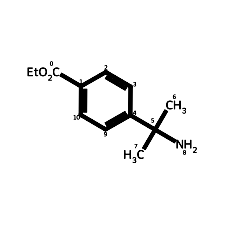 [CH2]COC(=O)c1ccc(C(C)(C)N)cc1